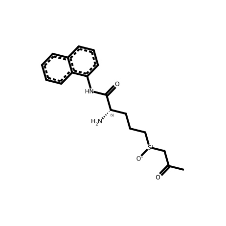 CC(=O)C[S+]([O-])CCC[C@H](N)C(=O)Nc1cccc2ccccc12